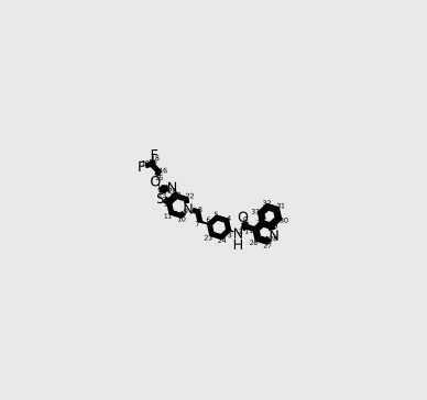 O=C(N[C@H]1CC[C@H](CCN2CCc3sc(OCC(F)F)nc3C2)CC1)c1ccnc2ccccc12